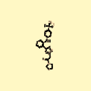 CC(F)(F)c1ccc(Nc2ccccc2-c2nnn(CC(=O)N3CCCC3)n2)cc1